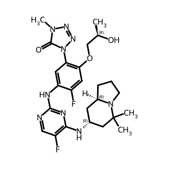 C[C@@H](O)COc1cc(F)c(Nc2ncc(F)c(N[C@@H]3C[C@H]4CCCN4C(C)(C)C3)n2)cc1-n1nnn(C)c1=O